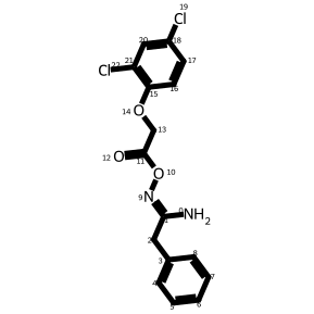 N/C(Cc1ccccc1)=N\OC(=O)COc1ccc(Cl)cc1Cl